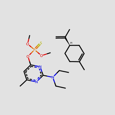 C=C(C)[C@H]1CC=C(C)CC1.CCN(CC)c1nc(C)cc(OP(=S)(OC)OC)n1